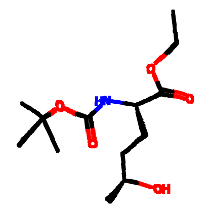 CCOC(=O)[C@@H](CC[C@H](C)O)NC(=O)OC(C)(C)C